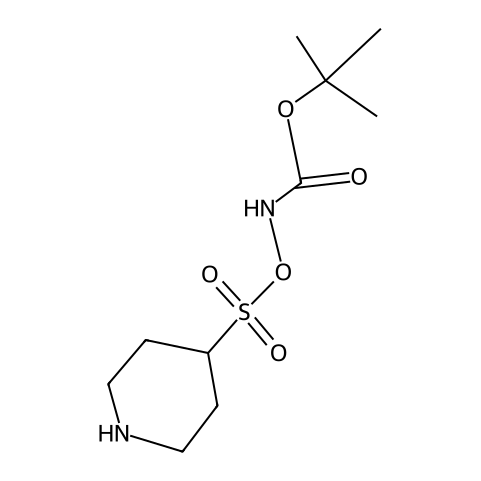 CC(C)(C)OC(=O)NOS(=O)(=O)C1CCNCC1